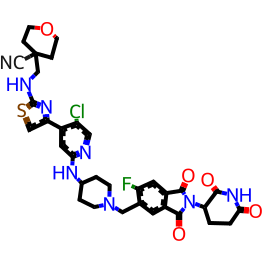 N#CC1(CNc2nc(-c3cc(NC4CCN(Cc5cc6c(cc5F)C(=O)N(C5CCC(=O)NC5=O)C6=O)CC4)ncc3Cl)cs2)CCOCC1